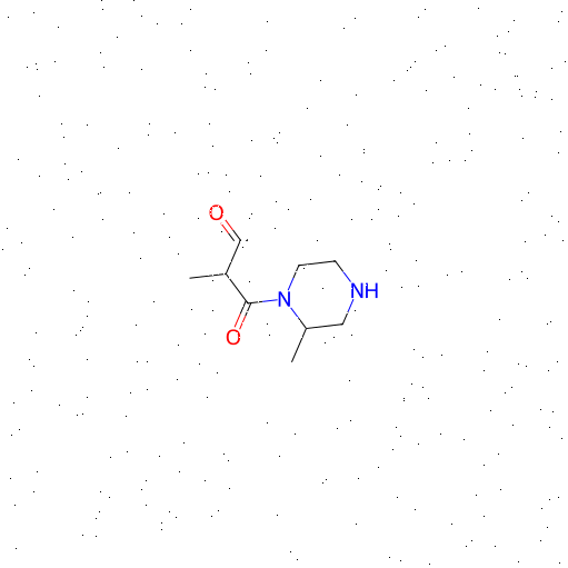 CC([C]=O)C(=O)N1CCNCC1C